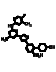 Cc1cc(Nc2cc(C)c(F)cn2)nc(-n2cnc(-c3ccc(C(=O)O)c(C4CCC(O)CC4)c3)c2)c1